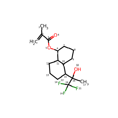 C=C(C)C(=O)OC1CCCC2C1CCCC2C(C)(O)C(F)(F)F